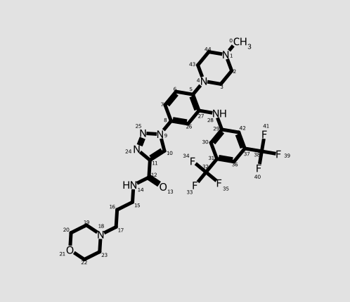 CN1CCN(c2ccc(-n3cc(C(=O)NCCCN4CCOCC4)nn3)cc2Nc2cc(C(F)(F)F)cc(C(F)(F)F)c2)CC1